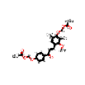 CCCOc1c(C=CC(=O)c2ccc(OCOC(=O)C(C)(C)C)cc2)cc(CC)c(OCOC(=O)C(C)(C)C)c1CC